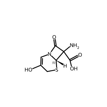 NC1(C(=O)O)C(=O)N2C=C(O)CS[C@H]21